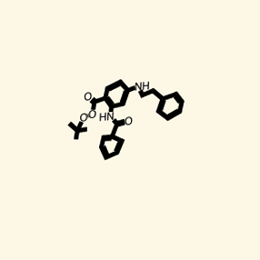 CC(C)(C)OOC(=O)c1ccc(NCCc2ccccc2)cc1NC(=O)c1ccccc1